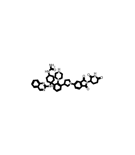 NC(=O)NC1CCC(Nc2ncc3ccccc3n2)(c2cccc(C3CCN(c4ccc5c(c4)C(=O)N(C4CCC(=O)NC4=O)C5=O)C3)c2N2CCNCC2)CC1